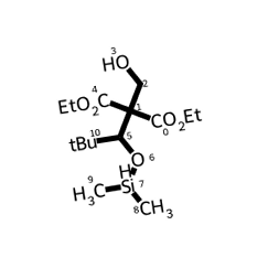 CCOC(=O)C(CO)(C(=O)OCC)C(O[SiH](C)C)C(C)(C)C